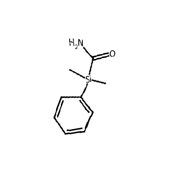 C[Si](C)(C(N)=O)c1ccccc1